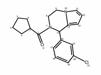 O=C(C1CCCC1)N1CCn2cccc2C1c1cccc(Cl)c1